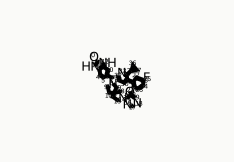 O=c1[nH]c2ccc(CN3CCC4(CCN(c5ncncc5Oc5ccc(F)cc5-c5cccnc5C5CC5)C4)C3)cc2[nH]1